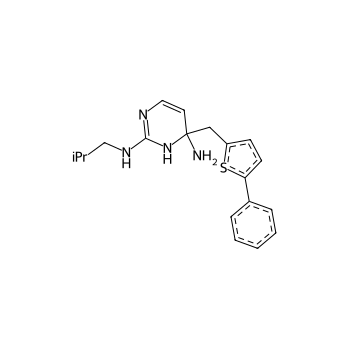 CC(C)CNC1=NC=CC(N)(Cc2ccc(-c3ccccc3)s2)N1